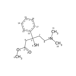 COC(=O)CC(S)(CCN(C)C)c1ccccc1